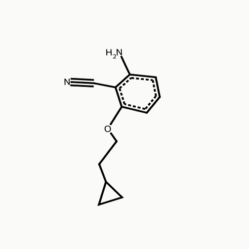 N#Cc1c(N)cccc1OCCC1CC1